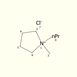 CCC[N+]1(C)CCCC1.[Cl-]